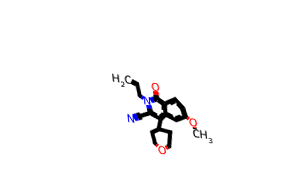 C=CCn1c(C#N)c(C2CCOCC2)c2cc(OC)ccc2c1=O